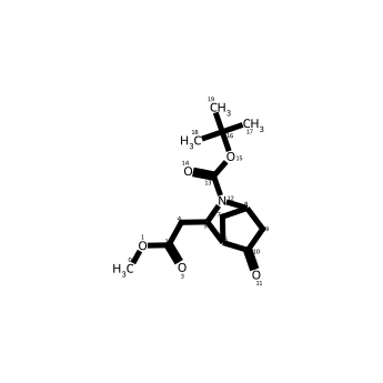 COC(=O)CC1C2CC(CC2=O)N1C(=O)OC(C)(C)C